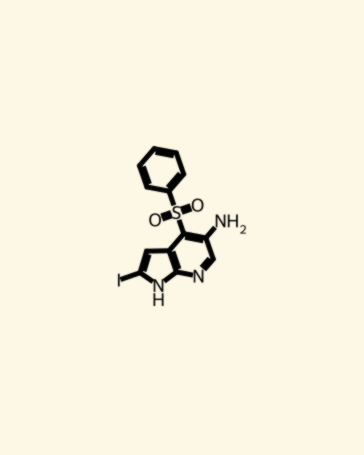 Nc1cnc2[nH]c(I)cc2c1S(=O)(=O)c1ccccc1